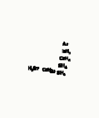 [Au].[Cu].[GeH4].[GeH4].[InH3].[SiH4].[SiH4].[SnH2]